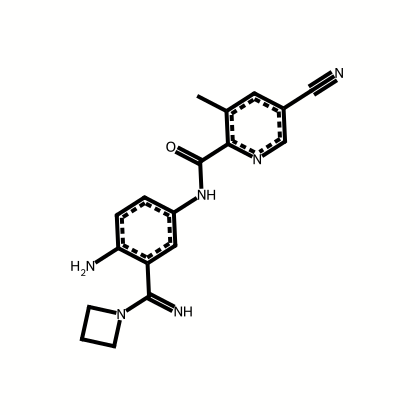 Cc1cc(C#N)cnc1C(=O)Nc1ccc(N)c(C(=N)N2CCC2)c1